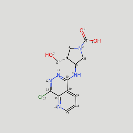 O=C(O)N1C[C@@H](CO)[C@H](Nc2nnc(Cl)c3ncccc23)C1